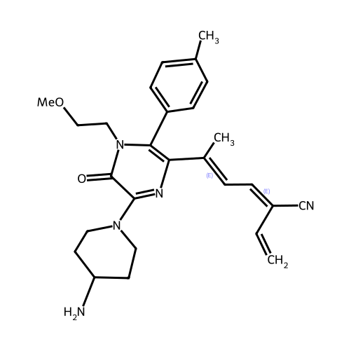 C=C/C(C#N)=C\C=C(/C)c1nc(N2CCC(N)CC2)c(=O)n(CCOC)c1-c1ccc(C)cc1